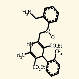 CCOC(=O)C1=C(C)NC(C[S+]([O-])c2ccccc2CN)=C(C(=O)OCC)C1c1ccccc1C(F)(F)F